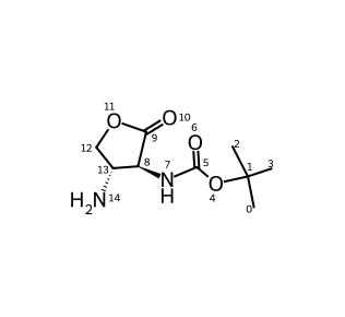 CC(C)(C)OC(=O)N[C@@H]1C(=O)OC[C@H]1N